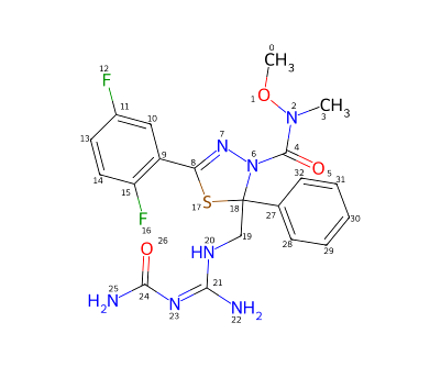 CON(C)C(=O)N1N=C(c2cc(F)ccc2F)SC1(CN/C(N)=N\C(N)=O)c1ccccc1